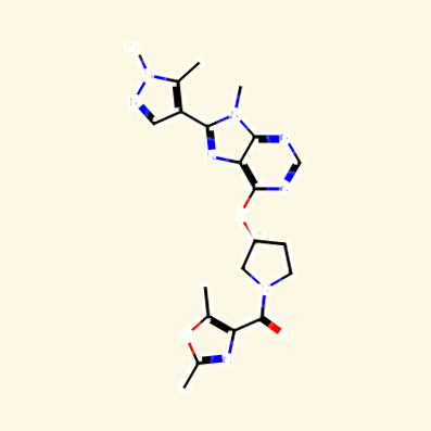 CCn1ncc(-c2nc3c(O[C@H]4CCN(C(=O)c5nc(C)oc5C)C4)ncnc3n2C)c1C